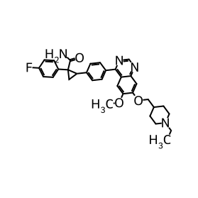 CCN1CCC(COc2cc3ncnc(-c4ccc(C5CC5(C(N)=O)c5ccc(F)cc5)cc4)c3cc2OC)CC1